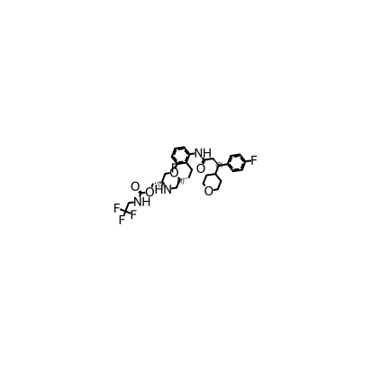 O=C(C[C@@H](c1ccc(F)cc1)C1CCOCC1)Nc1cccc(F)c1CC[C@@H]1CN[C@H](COC(=O)NCC(F)(F)F)CO1